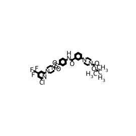 CC(C)(C)OC(=O)N1CCN(c2cccc(C(=O)Nc3ccc(S(=O)(=O)N4CCN(c5cc(C(F)(F)F)cc(Cl)n5)CC4)cc3)c2)CC1